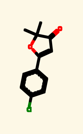 CC1(C)OC(c2ccc(Cl)cc2)=CC1=O